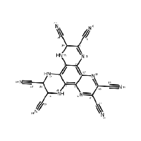 N#CC1=Nc2c(c3c(c4nc(C#N)c(C#N)nc24)NC(C#N)C(C#N)N3)NC1C#N